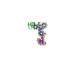 O=C(O)CC(c1ccc(Cl)c(Cl)c1)N(Cc1ccc(OCCN2C(=O)CCC2=O)c(F)c1)CC1CCCCC1